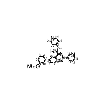 COc1cccc(-c2ccc3nc(-c4cccnc4)nc(NCc4ccncc4)c3c2)c1